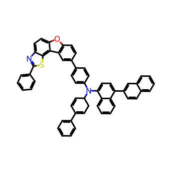 C1=CC(N(c2ccc(-c3ccc4oc5ccc6nc(-c7ccccc7)sc6c5c4c3)cc2)c2ccc(-c3ccc4ccccc4c3)c3ccccc23)CC=C1c1ccccc1